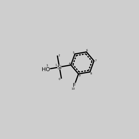 C[Si](C)(O)c1ccccc1F